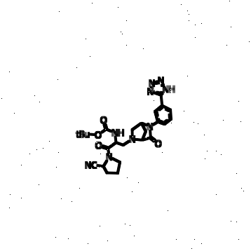 CC(C)(C)OC(=O)NC(CN1CC2CC1C(=O)N2c1cccc(-c2nnn[nH]2)c1)C(=O)N1CCCC1C#N